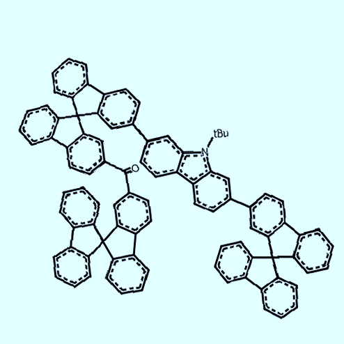 CC(C)(C)n1c2cc(-c3ccc4c(c3)C3(c5ccccc5-c5ccccc53)c3ccccc3-4)ccc2c2ccc(-c3ccc4c(c3)C3(c5ccccc5-c5ccc(C(=O)c6ccc7c(c6)C6(c8ccccc8-c8ccccc86)c6ccccc6-7)cc53)c3ccccc3-4)cc21